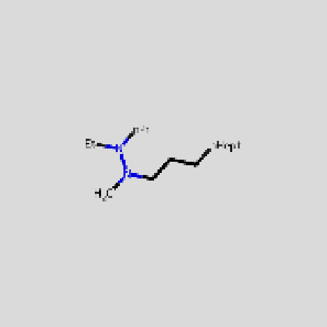 CCCCCCCCCCN(C)N(CC)CCC